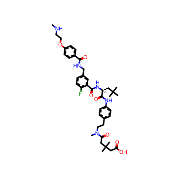 CNCCOc1ccc(C(=O)NCc2ccc(F)c(C(=O)N[C@@H](CC(C)(C)C)C(=O)Nc3ccc(CCN(C)C(=O)CC(C)(C)CC(=O)O)cc3)c2)cc1